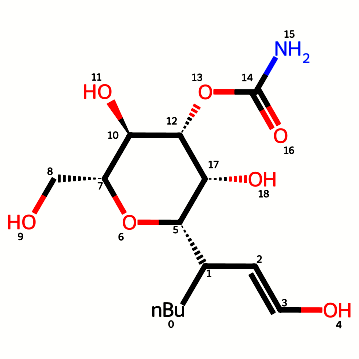 CCCCC(C=CO)[C@@H]1O[C@H](CO)[C@@H](O)[C@H](OC(N)=O)[C@@H]1O